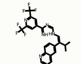 CC(C)/C(=C/N/C=N\C(=N)c1cc(C(F)(F)F)nc(C(F)(F)F)c1)c1ccc2ncccc2c1